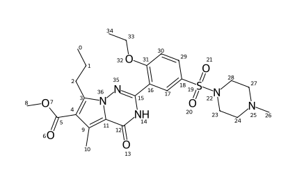 CCCc1c(C(=O)OC)c(C)c2c(=O)[nH]c(-c3cc(S(=O)(=O)N4CCN(C)CC4)ccc3OCC)nn12